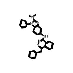 CN(C)c1nc2cc(Nc3nnc(Cc4ccccc4)c4ccccc34)ccc2n1-c1ccccc1